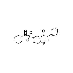 O=C(Nc1ccccc1)c1cc(S(=O)(=O)NC2CCCCC2)ccc1F